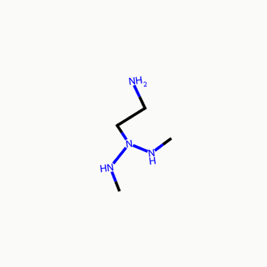 CNN(CCN)NC